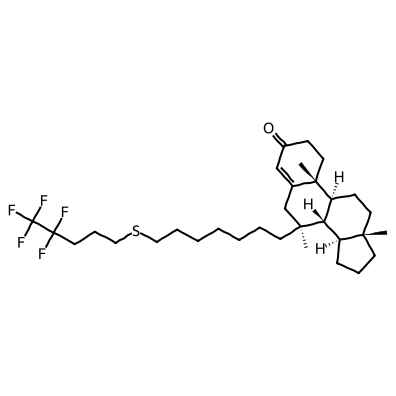 C[C@]1(CCCCCCCSCCCC(F)(F)C(F)(F)F)CC2=CC(=O)CC[C@]2(C)[C@H]2CC[C@]3(C)CCC[C@H]3[C@@H]21